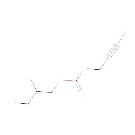 O=C(OCC#CI)OCC(Cl)CCl